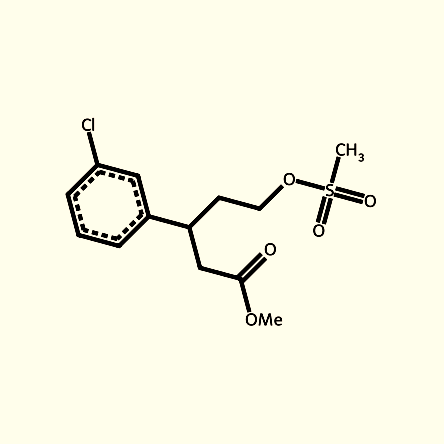 COC(=O)CC(CCOS(C)(=O)=O)c1cccc(Cl)c1